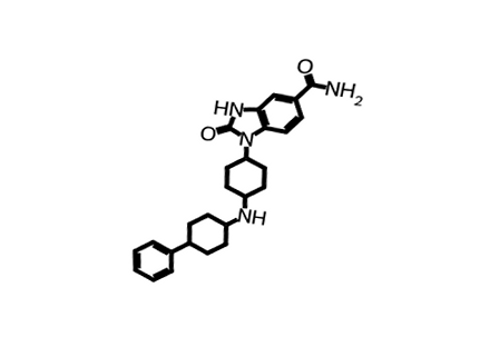 NC(=O)c1ccc2c(c1)[nH]c(=O)n2C1CCC(NC2CCC(c3ccccc3)CC2)CC1